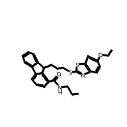 CCCNC(=O)c1cccc2c1C(CCCSc1nc3ccc(OCC)cc3s1)c1ccccc1-2